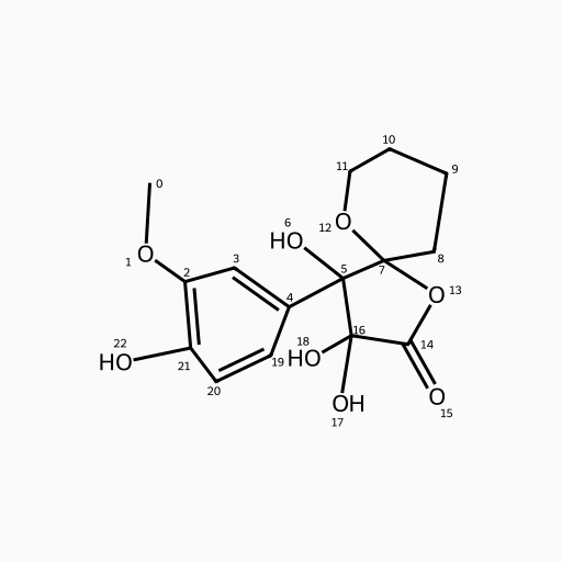 COc1cc(C2(O)C3(CCCCO3)OC(=O)C2(O)O)ccc1O